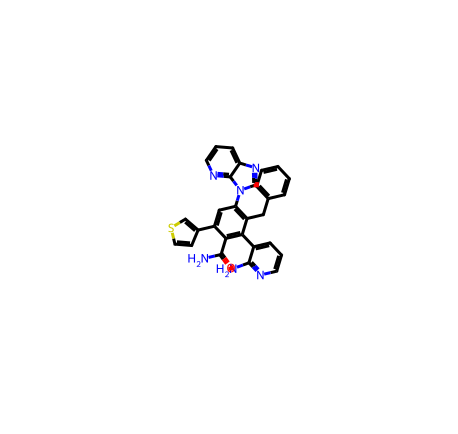 NC(=O)c1c(-c2ccsc2)cc(-n2cnc3cccnc32)c(Cc2ccccc2)c1-c1cccnc1N